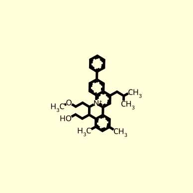 COCCC1C(CCO)c2c(C)cc(C)cc2-c2cc(CC(C)C)c3cc(-c4ccccc4)ccc3[n+]21